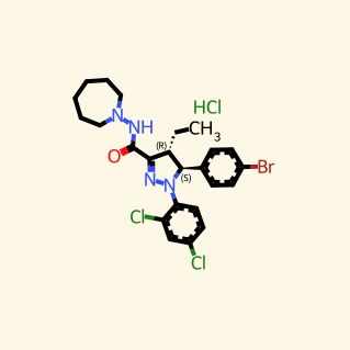 CC[C@H]1C(C(=O)NN2CCCCCC2)=NN(c2ccc(Cl)cc2Cl)[C@@H]1c1ccc(Br)cc1.Cl